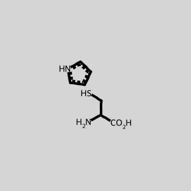 NC(CS)C(=O)O.c1cc[nH]c1